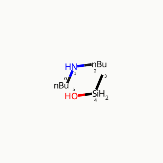 CCCCNCCCC.C[SiH2]O